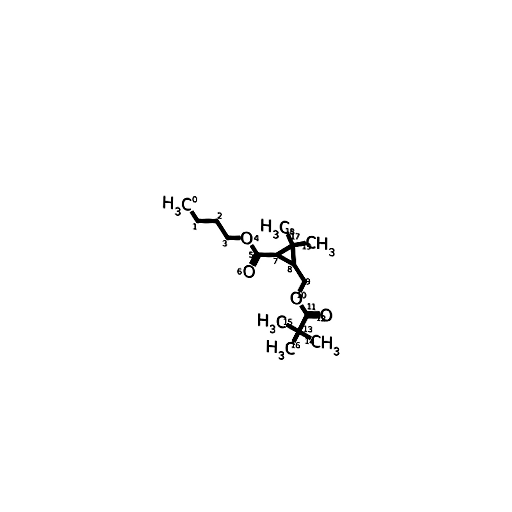 CCCCOC(=O)C1C(COC(=O)C(C)(C)C)C1(C)C